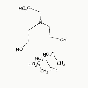 CC(=O)O.CC(=O)O.CC(=O)O.O=C(O)CN(CCO)CCO